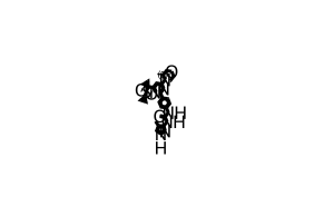 Cc1c[nH]nc1NC(=O)Nc1ccc(-c2nc(N3CCOC[C@@H]3C)cc(C3(S(=O)(=O)C4CC4)CC3)n2)cc1